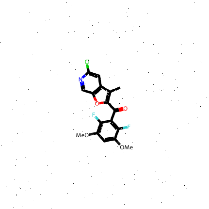 COc1cc(OC)c(F)c(C(=O)c2oc3cnc(Cl)cc3c2C)c1F